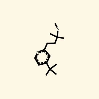 CSC(C)(C)CCc1cc(C(C)(C)C)ccn1